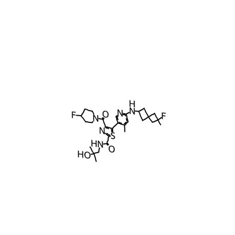 Cc1cc(NC2CC3(C2)CC(C)(F)C3)ncc1-c1sc(C(=O)NCC(C)(C)O)nc1C(=O)N1CCC(F)CC1